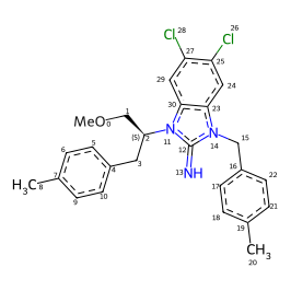 COC[C@H](Cc1ccc(C)cc1)n1c(=N)n(Cc2ccc(C)cc2)c2cc(Cl)c(Cl)cc21